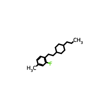 CCCC1CCC(CCc2ccc(C)cc2F)CC1